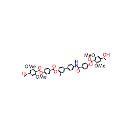 COc1cc(C(C)O)cc(OC)c1C(=O)Oc1ccc(C(=O)Nc2ccc(-c3ccc(OC(=O)c4ccc(OC(=O)c5c(OC)cc(C6CO6)cc5OC)cc4)c(C)c3)cc2)cc1